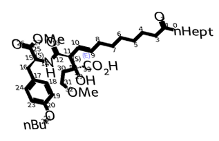 CCCCCCCC(=O)CCCCCC/C=C/[C@H](C(=O)N[C@@H](Cc1ccc(OCCCC)cc1)C(=O)OC)[C@@](O)(CCOC)C(=O)O